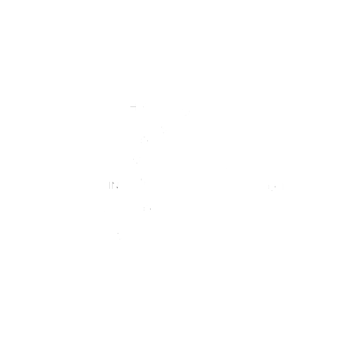 CS(=O)(=O)c1cc(CO)ccc1S(=O)(=O)Nc1cccs1